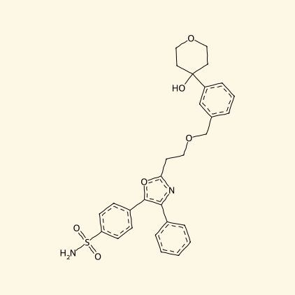 NS(=O)(=O)c1ccc(-c2oc(CCOCc3cccc(C4(O)CCOCC4)c3)nc2-c2ccccc2)cc1